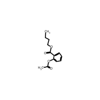 CCCCOC(=O)c1ccccc1OC(C)=O